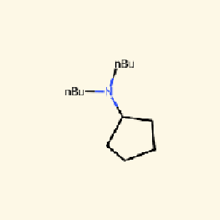 CCCCN(CCCC)[C]1CCCC1